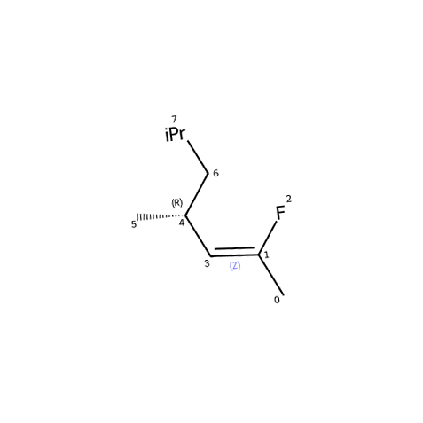 C/C(F)=C/[C@H](C)CC(C)C